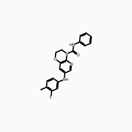 Cc1ccc(Nc2cnc3c(c2)OCCN3C(=O)Nc2ccccc2)cc1F